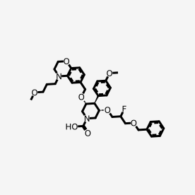 COCCCN1CCOc2ccc(CO[C@H]3CN(C(=O)O)C[C@@H](OCC(F)COCc4ccccc4)[C@@H]3c3ccc(OC)cc3)cc21